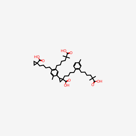 Cc1ccc(CCCCC2(C(=O)O)CC2c2cc(CCCCC(C)(C)C(=O)O)c(CCCCC3(C(=O)O)CC3)cc2C)c(CCCCC(C)(C)C(=O)O)c1